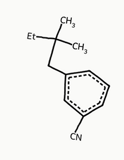 CCC(C)(C)Cc1cccc(C#N)c1